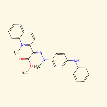 COC(=O)/C(=N\N(C)c1ccc(Nc2ccccc2)cc1)c1ccc2ccccc2[n+]1C